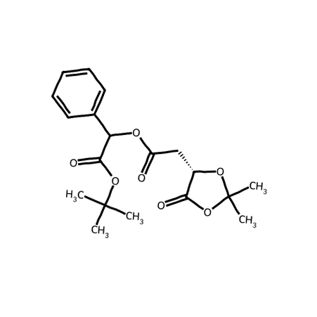 CC(C)(C)OC(=O)C(OC(=O)C[C@@H]1OC(C)(C)OC1=O)c1ccccc1